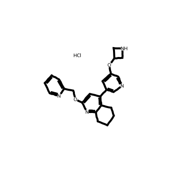 Cl.c1ccc(COc2cc(-c3cncc(OC4CNC4)c3)c3c(n2)CCCC3)nc1